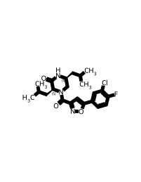 CC(C)C[C@H]1CN(C(=O)c2cc(-c3ccc(F)c(Cl)c3)on2)[C@@H](CC(C)C)C(=O)N1